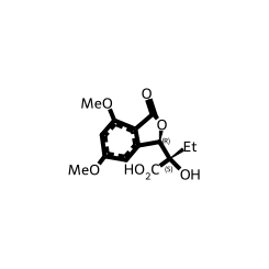 CC[C@@](O)(C(=O)O)[C@@H]1OC(=O)c2c(OC)cc(OC)cc21